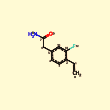 C=Cc1ccc(CC(N)=O)cc1F